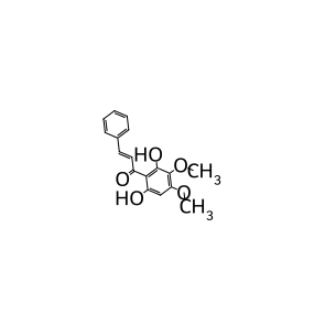 COc1cc(O)c(C(=O)/C=C/c2ccccc2)c(O)c1OC